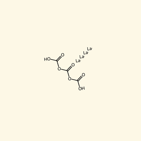 O=C(O)OC(=O)OC(=O)O.[La].[La].[La].[La]